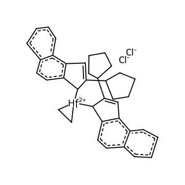 C1=C(C2CCCC2)[CH]([Hf+2]2([CH]3C(C4CCCC4)=Cc4c3ccc3ccccc43)[CH2][CH2]2)c2ccc3ccccc3c21.[Cl-].[Cl-]